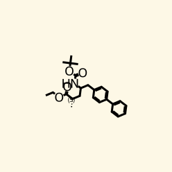 CCOC(=O)[C@@H](C)CC(Cc1ccc(-c2ccccc2)cc1)NC(=O)OC(C)(C)C